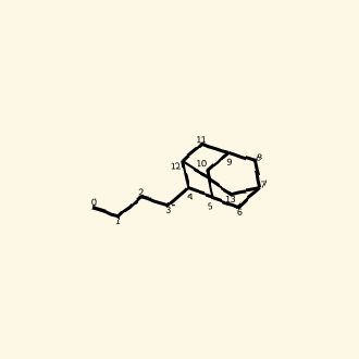 CCC[CH]C1C2CC3CC(C2)CC1C3